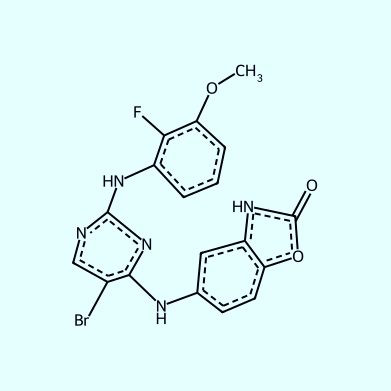 COc1cccc(Nc2ncc(Br)c(Nc3ccc4oc(=O)[nH]c4c3)n2)c1F